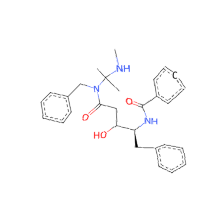 CNC(C)(C)N(Cc1ccccc1)C(=O)CC(O)[C@H](Cc1ccccc1)NC(=O)c1ccccc1